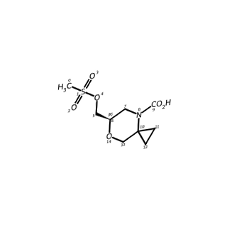 CS(=O)(=O)OC[C@H]1CN(C(=O)O)C2(CC2)CO1